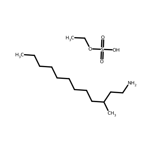 CCCCCCCCCC(C)CCN.CCOS(=O)(=O)O